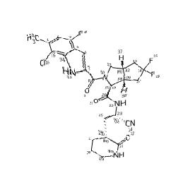 Cc1cc(F)c2cc(C(=O)N3C[C@@H]4CC(F)(F)C[C@@H]4[C@H]3C(=O)N[C@H](C#N)C[C@H]3CCCNC3=O)[nH]c2c1Cl